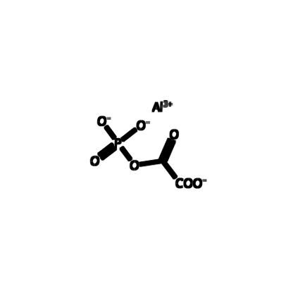 O=C([O-])C(=O)OP(=O)([O-])[O-].[Al+3]